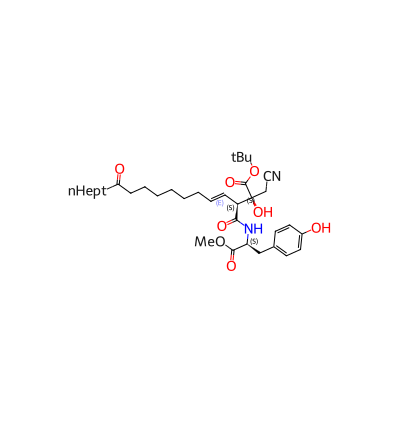 CCCCCCCC(=O)CCCCCC/C=C/[C@H](C(=O)N[C@@H](Cc1ccc(O)cc1)C(=O)OC)[C@@](O)(CC#N)C(=O)OC(C)(C)C